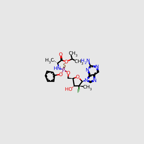 CC(C)OC(=O)[C@@H](C)N[P@@](=S)(OC[C@H]1O[C@@H](n2cnc3cnc(N)nc32)[C@](C)(F)[C@@H]1O)Oc1ccccc1